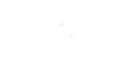 O=C1O[C@]2(CCN(C(=O)C3(c4cccc(Br)c4)CC3)C2)c2ccccc21